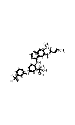 CC=CC(=O)Nc1cc2c(Nc3ccc(Oc4cccc(C(F)(F)F)c4)cc3C(C)(C)O)ncnc2cc1OC